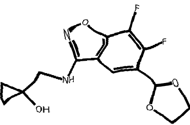 OC1(CNc2noc3c(F)c(F)c(C4OCCO4)cc23)CC1